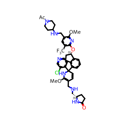 COC1=C(CNC[C@@H]2CCC(=O)N2)C=CC(c2ccncc2Cl)(c2cccc3c2CC[C@@H]3Oc2nc(OC)c(CNC3CCN(C(C)=O)CC3)cc2C(F)(F)F)N1